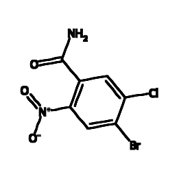 NC(=O)c1cc(Cl)c(Br)cc1[N+](=O)[O-]